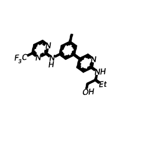 CCC(CO)Nc1ccc(-c2cc(C)cc(Nc3nccc(C(F)(F)F)n3)c2)cn1